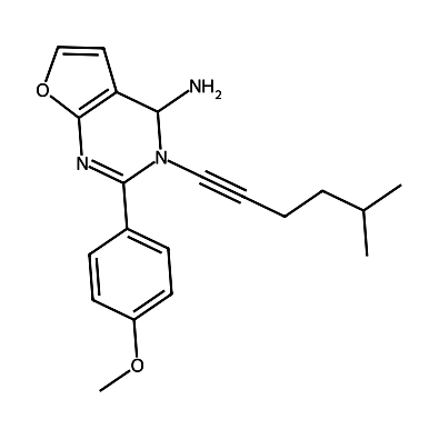 COc1ccc(C2=Nc3occc3C(N)N2C#CCCC(C)C)cc1